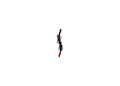 CCCCCCCCC(F)C(=O)OC1CCC(c2ccc(C3CCC(OC(=O)C(F)CCCCCCCC)CC3)c(F)c2)CC1